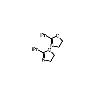 CC(C)C1=NCCO1.CC(C)C1=NCCO1